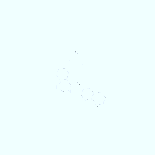 C[C@H]([C@@H](C)Oc1cc(Br)cc2ncnc(Nc3ccc4ncccc4c3F)c12)N(C)C